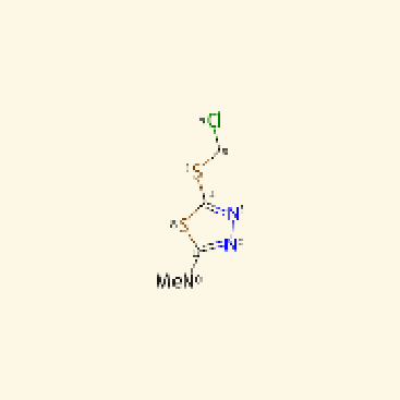 CNc1nnc(SCCl)s1